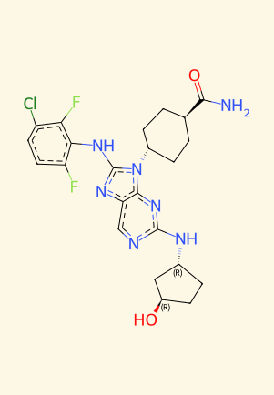 NC(=O)[C@H]1CC[C@H](n2c(Nc3c(F)ccc(Cl)c3F)nc3cnc(N[C@@H]4CC[C@@H](O)C4)nc32)CC1